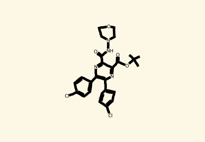 CC(C)(C)OC(=O)c1nc(-c2ccc(Cl)cc2)c(-c2ccc(Cl)cc2)nc1C(=O)NN1CCOCC1